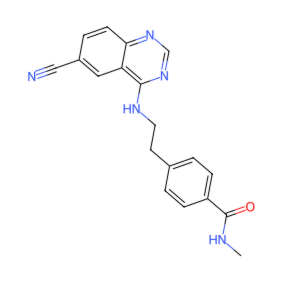 CNC(=O)c1ccc(CCNc2ncnc3ccc(C#N)cc23)cc1